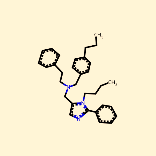 CCCCn1c(CN(CCc2ccccc2)Cc2ccc(CCC)cc2)cnc1-c1ccccc1